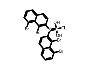 OP(O)(Cl)=S(c1ccc2cccc(Br)c2c1Br)c1ccc2cccc(Br)c2c1Br